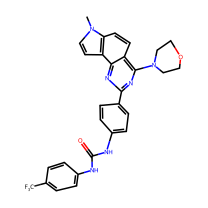 Cn1ccc2c3nc(-c4ccc(NC(=O)Nc5ccc(C(F)(F)F)cc5)cc4)nc(N4CCOCC4)c3ccc21